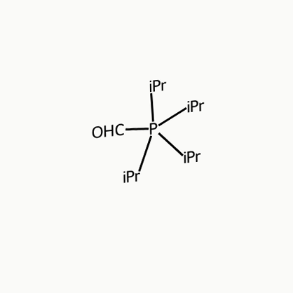 CC(C)P(C=O)(C(C)C)(C(C)C)C(C)C